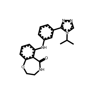 CC(C)n1cnnc1-c1cccc(Nc2cccc3c2C(=O)NCCO3)c1